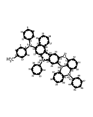 Cc1ccc(N(c2ccccc2)c2cc3c(c4ccccc24)c2cc4c(cc2n3-c2ccccc2)B2c3ccccc3N(c3ccccc3)c3cccc(c32)O4)cc1